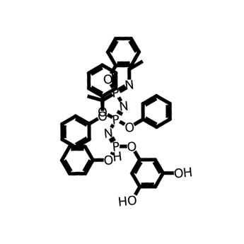 CCN=P(N=P(/N=[PH](/Oc1ccccc1)Oc1cc(O)cc(O)c1)(Oc1ccccc1)Oc1ccccc1)(Oc1ccccc1)C(C)Oc1ccccc1